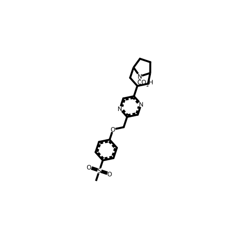 CS(=O)(=O)c1ccc(OCc2cnc(C3CC4CCC(C3)N4C(=O)O)cn2)cc1